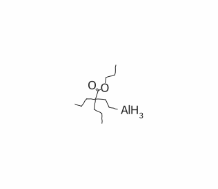 CCCOC(=O)C(CCC)(CCC)CCC.[AlH3]